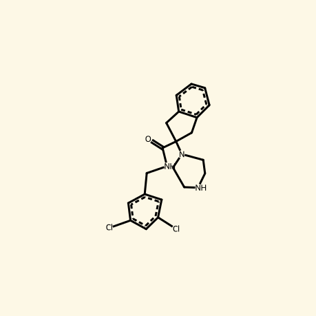 O=C(NCc1cc(Cl)cc(Cl)c1)C1(N2CCNCC2)Cc2ccccc2C1